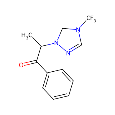 CC(C(=O)c1ccccc1)N1CN(C(F)(F)F)C=N1